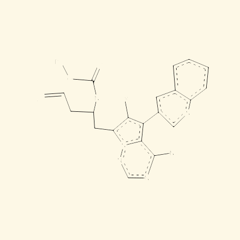 C=CCC(Cc1c(Br)c(-c2cnc3ccccc3c2)c2c(N)ncnn12)NC(=O)OC(C)(C)C